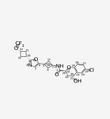 O=C(NC12CC(c3cnc([C@H]4C[C@@H](OC(F)(F)F)C4)o3)(C1)C2)[C@@H]1C[C@@H](O)c2cc(Cl)ccc2O1